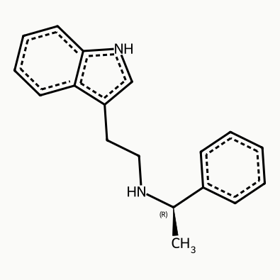 C[C@@H](NCCc1c[nH]c2ccccc12)c1ccccc1